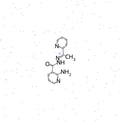 C/C(=N\NC(=O)c1cccnc1N)c1ccccn1